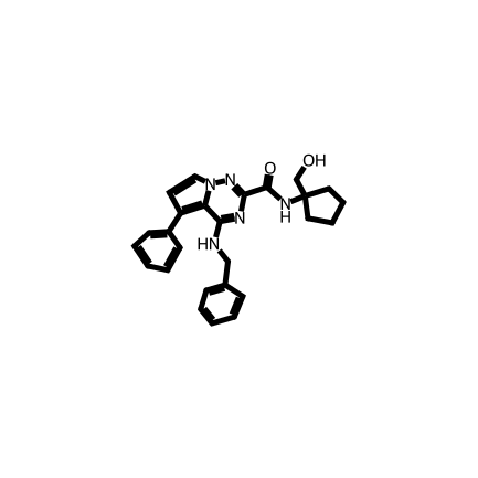 O=C(NC1(CO)CCCC1)c1nc(NCc2ccccc2)c2c(-c3ccccc3)ccn2n1